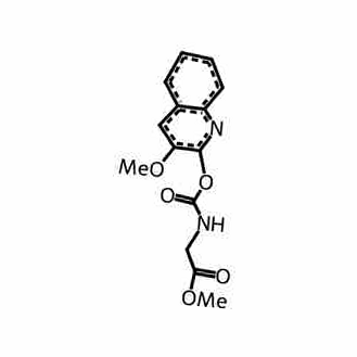 COC(=O)CNC(=O)Oc1nc2ccccc2cc1OC